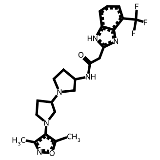 Cc1noc(C)c1N1CCC(N2CCC(NC(=O)Cc3nc4c(C(F)(F)F)cccc4[nH]3)C2)C1